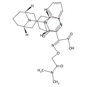 CN(C)C(=O)CO/N=C(\C(=O)O)c1nc2ccccc2n(C2C[C@H]3CCC[C@@H](C2)N3C2C[C@H]3CCC[C@@H](C2)C3)c1=O